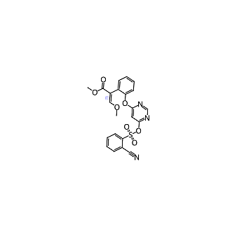 CO/C=C(/C(=O)OC)c1ccccc1Oc1cc(OS(=O)(=O)c2ccccc2C#N)ncn1